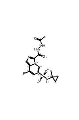 CC(=O)NNC(=O)c1ncc2c(F)cc(S(=O)(=O)NC3(C)CC3)cn12